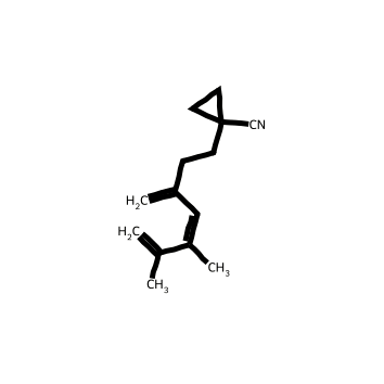 C=C(/C=C(/C)C(=C)C)CCC1(C#N)CC1